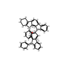 c1ccc(-n2c3c(c4ccc5c6ccccc6n(-c6ccc7c(c6)c6ccccc6n7-c6ccccc6)c5c42)CCCC3)cc1